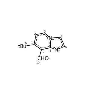 CC(C)(C)c1ccn2ccnc2c1[C]=O